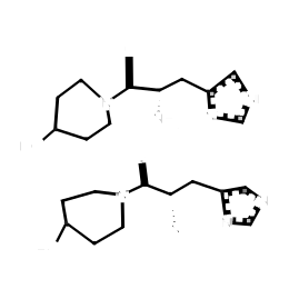 N[C@@H](Cc1c[nH]cn1)C(=O)N1CCC(O)CC1.N[C@@H](Cc1c[nH]cn1)C(=O)N1CCC(O)CC1